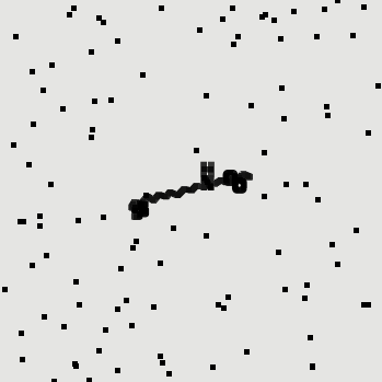 C=CC(=O)OCCCNCCCCCCCCCCC1CCSS1